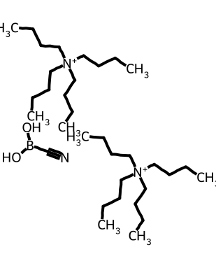 CCCC[N+](CCCC)(CCCC)CCCC.CCCC[N+](CCCC)(CCCC)CCCC.N#CB(O)O